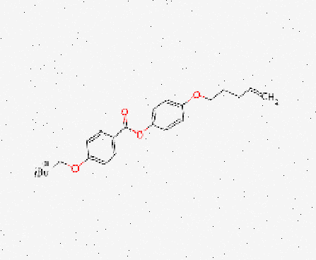 C=CCCCOc1ccc(OC(=O)c2ccc(OC[C@@H](C)CC)cc2)cc1